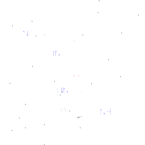 CC(C)[C@H](NC(=O)C[C@H](NC(=O)c1cccc(N(C)C)c1)c1ccccc1)C(=O)[C@@H]1C(=O)NC(=O)[C@H]1C